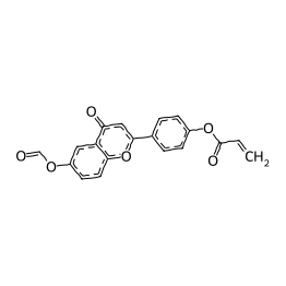 C=CC(=O)Oc1ccc(-c2cc(=O)c3cc(OC=O)ccc3o2)cc1